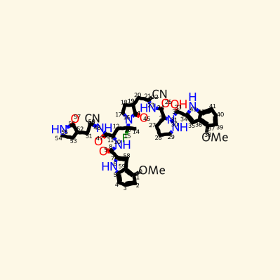 COc1cccc2[nH]c(C(=O)NC(CC(C)(F)N3CCC(CC(C#N)NC(=O)C4CCCNN4C(O)c4cc5c(OC)cccc5[nH]4)C3=O)C(=O)NC(C#N)CC3CCNC3=O)cc12